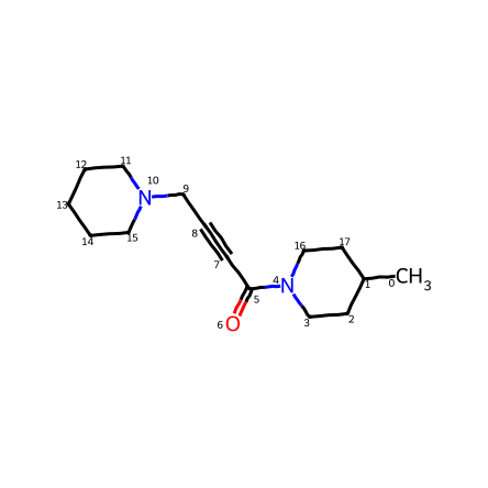 CC1CCN(C(=O)C#CCN2CCCCC2)CC1